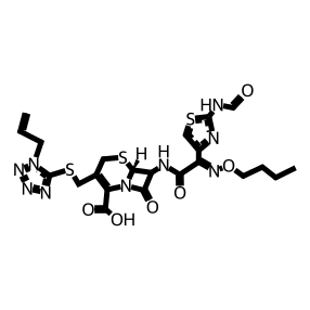 C=CCn1nnnc1SCC1=C(C(=O)O)N2C(=O)C(NC(=O)/C(=N/OCCCC)c3csc(NC=O)n3)[C@H]2SC1